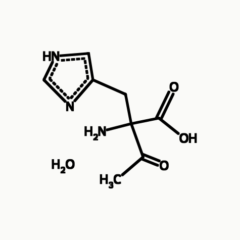 CC(=O)C(N)(Cc1c[nH]cn1)C(=O)O.O